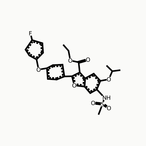 CCOC(=O)c1c(-c2ccc(Oc3ccc(F)cc3)cc2)oc2cc(NS(C)(=O)=O)c(OC(C)C)cc12